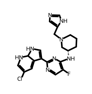 Fc1cnc(C2=CNC3NC=C(Cl)C=C23)nc1N[C@H]1CCCN(Cc2cnc[nH]2)C1